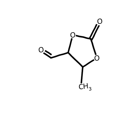 CC1OC(=O)OC1C=O